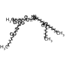 CCCCCCCCC(=O)OCCSSCCOC(=O)N(CCCN(C)C)CCC(=O)OCCc1cn(CCCCCC(=O)OC(CCCCCCCC)CCCCCCCC)nn1